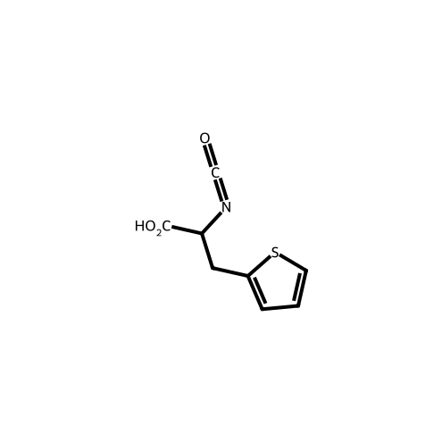 O=C=NC(Cc1cccs1)C(=O)O